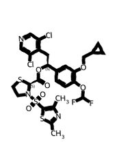 Cc1nc(C)c(S(=O)(=O)N2CCS[C@H]2C(=O)O[C@@H](Cc2c(Cl)cncc2Cl)c2ccc(OC(F)F)c(OCC3CC3)c2)s1